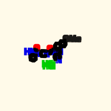 COc1ccc2c(c1)CC[C@@H](NC(=O)CN1CCC(n3c(=O)[nH]c4ccccc43)CC1)[C@@H]2Cc1cccnc1.Cl.Cl